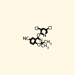 CC1(C)N=C(Oc2ncc(Cl)cc2Cl)c2cc(C#N)ccc2O1